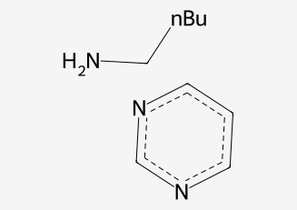 CCCCCN.c1cncnc1